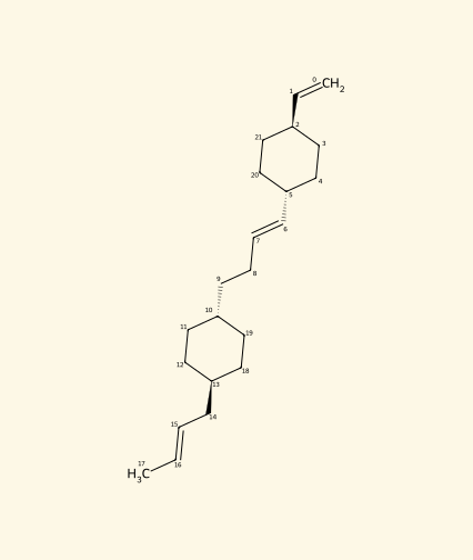 C=C[C@H]1CC[C@H](C=CCC[C@H]2CC[C@H](CC=CC)CC2)CC1